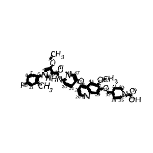 CCOc1cn(-c2ccc(F)cc2C)nc1C(=O)Nc1ccc(Oc2ccnc3cc(OCC4CCN(C(=O)O)CC4)c(OC)cc23)cn1